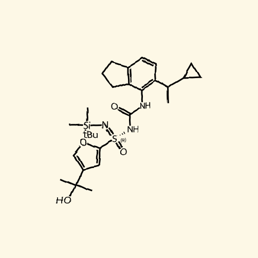 CC(c1ccc2c(c1NC(=O)N[S@@](=O)(=N[Si](C)(C)C(C)(C)C)c1cc(C(C)(C)O)co1)CCC2)C1CC1